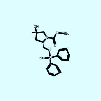 CC(C)(C)OC(=O)N1C[C@@](C)(O)C[C@@H]1CO[Si](c1ccccc1)(c1ccccc1)C(C)(C)C